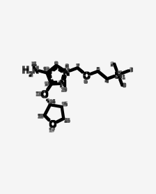 C[Si](C)(C)CCOCn1cc(N)c(O[C@@H]2CCOC2)n1